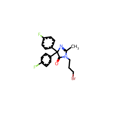 CC1=NC(c2ccc(F)cc2)(c2ccc(F)cc2)C(=O)N1CCCBr